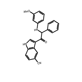 COc1cccc(NC(C(=O)c2c[nH]c3ccc(C#N)cc23)c2ccccc2)c1